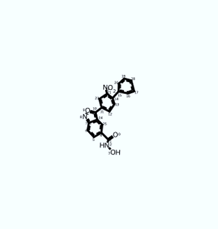 O=C(NO)c1ccc2noc(-c3ccc(-c4ccccc4)c([N+](=O)[O-])c3)c2c1